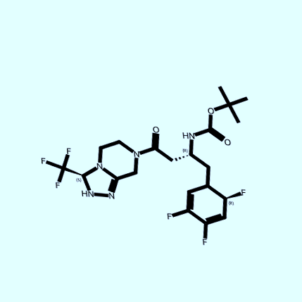 CC(C)(C)OC(=O)N[C@@H](CC(=O)N1CCN2C(=NN[C@H]2C(F)(F)F)C1)CC1C=C(F)C(F)=C[C@@H]1F